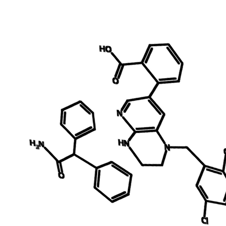 NC(=O)C(c1ccccc1)c1ccccc1.O=C(O)c1ccccc1-c1cnc2c(c1)N(Cc1cc(Cl)ccc1Cl)CCN2